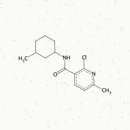 Cc1ccc(C(=O)NC2CCCC(C)C2)c(Cl)n1